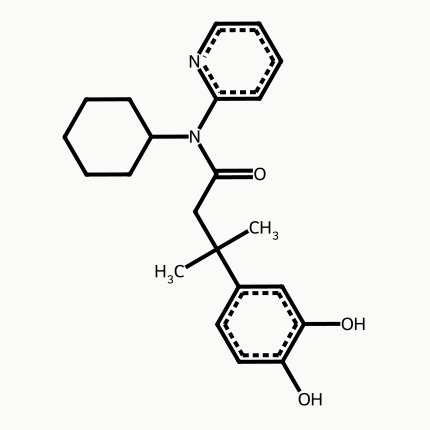 CC(C)(CC(=O)N(c1ccccn1)C1CCCCC1)c1ccc(O)c(O)c1